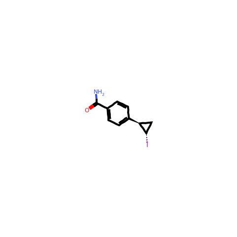 NC(=O)c1ccc([C@H]2C[C@@H]2I)cc1